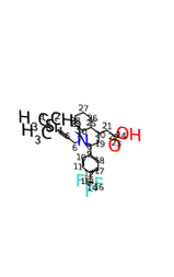 C[Si](C)(C)C#CCN1C(c2ccc(C(F)(F)F)cc2)CC(CC(=O)O)C2CCCCC21